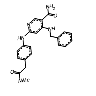 CNC(=O)Cc1ccc(Nc2cc(NCc3ccccc3)c(C(N)=O)cn2)cc1